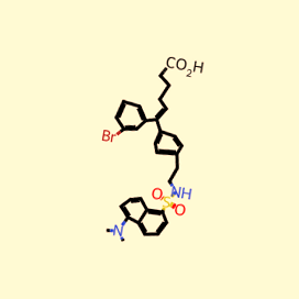 CN(C)c1cccc2c(S(=O)(=O)NCCc3ccc(C(=CCCCC(=O)O)c4cccc(Br)c4)cc3)cccc12